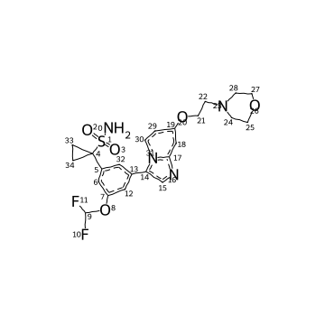 NS(=O)(=O)C1(c2cc(OC(F)F)cc(-c3cnc4cc(OCCN5CCOCC5)ccn34)c2)CC1